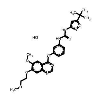 COCCOc1cc2ncnc(Oc3cccc(NC(=O)Nc4cc(C(C)(C)C)on4)c3)c2cc1OC.Cl